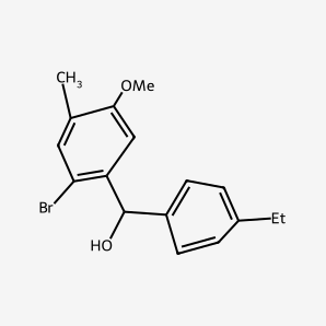 CCc1ccc(C(O)c2cc(OC)c(C)cc2Br)cc1